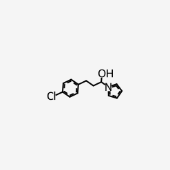 OC(CCc1ccc(Cl)cc1)n1cccc1